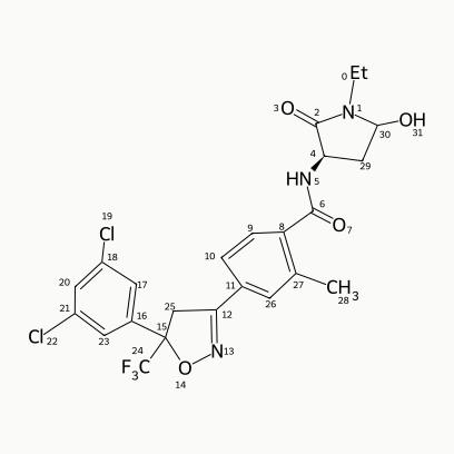 CCN1C(=O)[C@H](NC(=O)c2ccc(C3=NOC(c4cc(Cl)cc(Cl)c4)(C(F)(F)F)C3)cc2C)CC1O